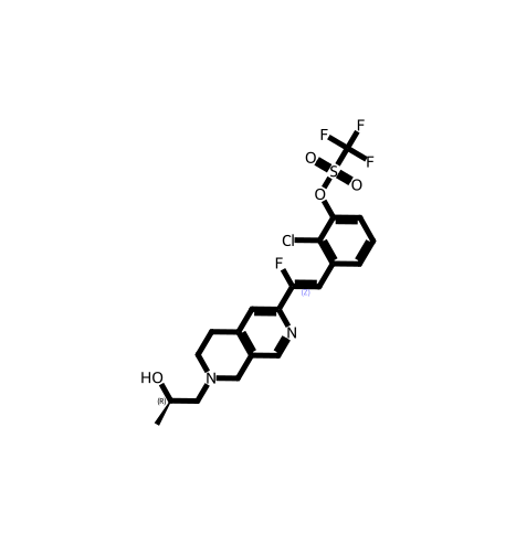 C[C@@H](O)CN1CCc2cc(/C(F)=C/c3cccc(OS(=O)(=O)C(F)(F)F)c3Cl)ncc2C1